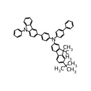 CC(C)(C)c1ccc2c(c1)C(C)(C)c1cc(N(c3ccc(-c4ccccc4)cc3)c3ccc(-c4ccc5c(c4)c4ccccc4n5-c4ccccc4)cc3)ccc1-2